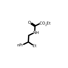 CCCC(CC)CNC(=O)C(=O)OCC